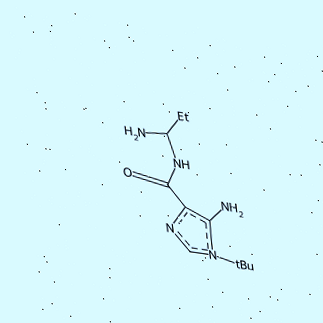 CCC(N)NC(=O)c1ncn(C(C)(C)C)c1N